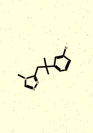 Cn1cnnc1CC(C)(C)c1cccc(Br)c1